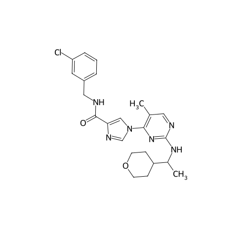 Cc1cnc(NC(C)C2CCOCC2)nc1-n1cnc(C(=O)NCc2cccc(Cl)c2)c1